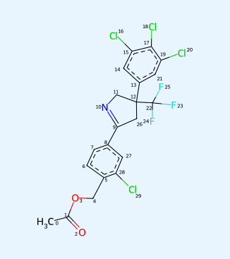 CC(=O)OCc1ccc(C2=NCC(c3cc(Cl)c(Cl)c(Cl)c3)(C(F)(F)F)C2)cc1Cl